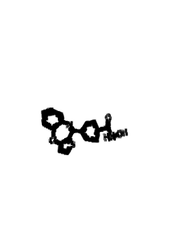 O=C(NO)c1ccc(C2=Nc3ccccc3Oc3ccsc32)cc1